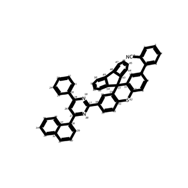 N#Cc1ccccc1-c1ccc2c(c1)C1(c3cc(-c4nc(-c5ccccc5)cc(-c5cccc6ccccc56)n4)ccc3S2)c2ccccc2-c2ccccc21